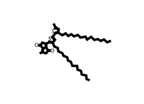 CCCCCCCCCCCCCCCCc1cc(-c2sc(C)cc2CCCCCCCCCCCCCCCC)sc1C1=C2C(=O)CC(C)=C2C(=O)C1